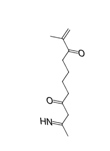 C=C(C)C(=O)CCCCC(=O)CC(C)=N